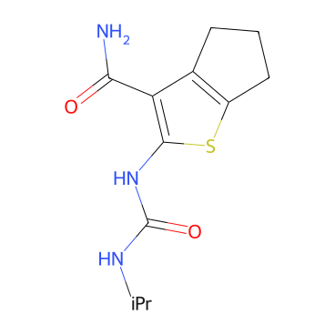 CC(C)NC(=O)Nc1sc2c(c1C(N)=O)CCC2